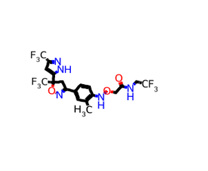 Cc1cc(C2=NOC(c3cc(C(F)(F)F)n[nH]3)(C(F)(F)F)C2)ccc1NOCC(=O)NCC(F)(F)F